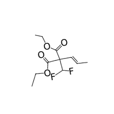 CC=CC(C(=O)OCC)(C(=O)OCC)C(F)F